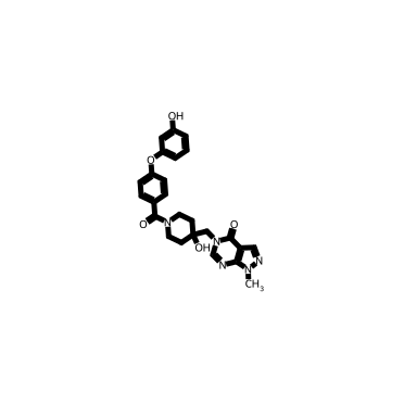 Cn1ncc2c(=O)n(CC3(O)CCN(C(=O)c4ccc(Oc5cccc(O)c5)cc4)CC3)cnc21